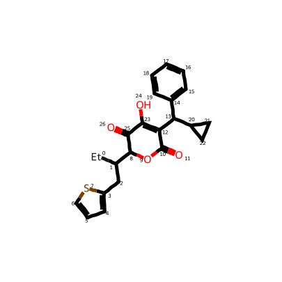 CCC(Cc1cccs1)C1OC(=O)C(C(c2ccccc2)C2CC2)=C(O)C1=O